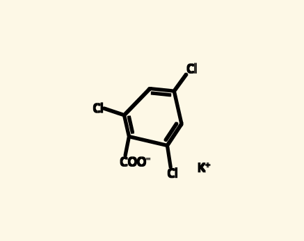 O=C([O-])c1c(Cl)cc(Cl)cc1Cl.[K+]